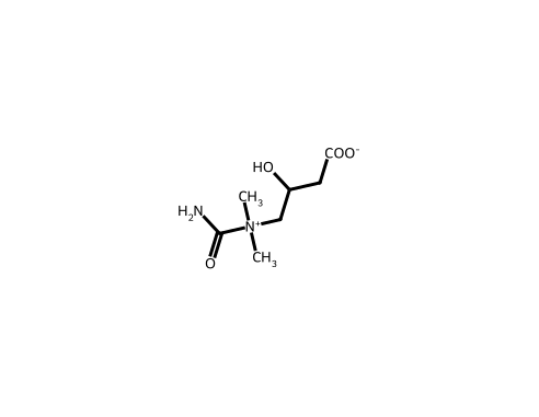 C[N+](C)(CC(O)CC(=O)[O-])C(N)=O